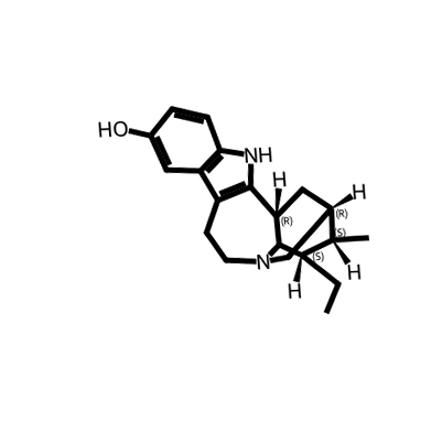 CC[C@@H]1C2[C@H]3C[C@@H](CN2CCc2c3[nH]c3ccc(O)cc23)[C@@H]1C